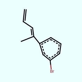 C=C/C=C(\C)c1cccc(Br)c1